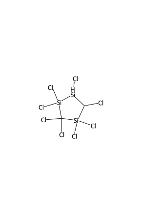 ClC1[SiH](Cl)[Si](Cl)(Cl)C(Cl)(Cl)[Si]1(Cl)Cl